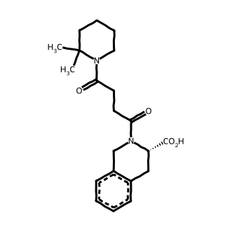 CC1(C)CCCCN1C(=O)CCC(=O)N1Cc2ccccc2C[C@H]1C(=O)O